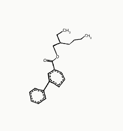 CCCCC(CC)COC(=O)c1cccc(-c2ccccc2)c1